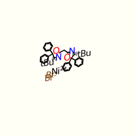 CC(C)(C)[C@H]1N=C(CC2=N[C@H](C(C)(C)C)C(c3ccccc3)(c3ccccc3)O2)OC1(c1ccccc1)c1ccccc1.[Br-].[Br-].[Ni+2]